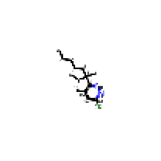 CCCCCC(C)(CC)c1nnc(F)cc1C